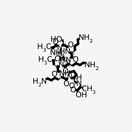 CC(C)C[C@H](NC(=O)[C@H](CCCCN)NC(=O)[C@H](CCCCN)NC(=O)[C@H](CO)NC(=O)[C@H](C)N)C(=O)N[C@@H](CCCCN)C(=O)N1CCC[C@H]1C(=O)N[C@@H](C)C(=O)O